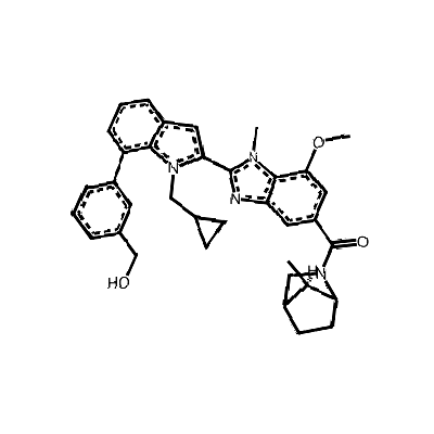 COc1cc(C(=O)N2CC3CCC2[C@@H]3C)cc2nc(-c3cc4cccc(-c5cccc(CO)c5)c4n3CC3CC3)n(C)c12